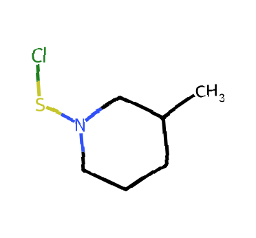 CC1CCCN(SCl)C1